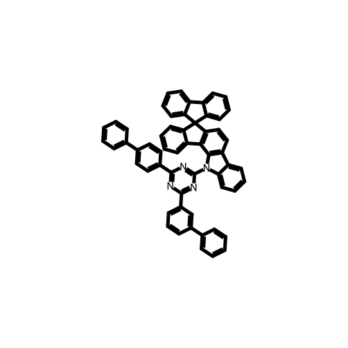 c1ccc(-c2ccc(-c3nc(-c4cccc(-c5ccccc5)c4)nc(-n4c5ccccc5c5ccc6c(c54)-c4ccccc4C64c5ccccc5-c5ccccc54)n3)cc2)cc1